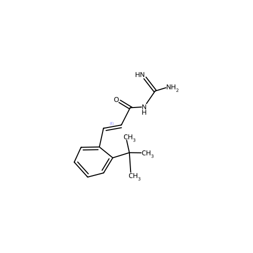 CC(C)(C)c1ccccc1/C=C/C(=O)NC(=N)N